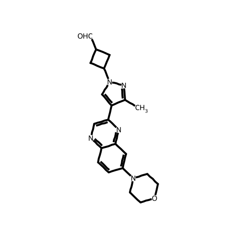 Cc1nn(C2CC(C=O)C2)cc1-c1cnc2ccc(N3CCOCC3)cc2n1